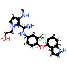 CNc1ccn(CCO)c1C(=N)Nc1ccc(Oc2cccc3[nH]ccc23)c(Cl)c1